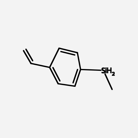 C=Cc1ccc([SiH2]C)cc1